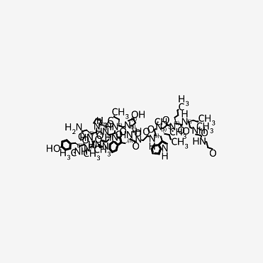 CCCC[C@@H](C(=O)N(C)[C@@H](CCCC)C(=O)N[C@@H](CC(C)C)C(=O)NCC(=O)NCCC=O)N(C)C(=O)[C@H](Cc1c[nH]c2ccccc12)NC(=O)CNC(=O)[C@H](Cc1c[nH]c2ccccc12)NC(=O)[C@@H]1C[C@@H](O)CN1C(=O)[C@H](CC(C)C)NC(=O)[C@H](Cc1c[nH]cn1)NC(=O)[C@@H]1CCCN1C(=O)[C@H](CC(N)=O)NC(=O)[C@H](C)N(C)C(=O)[C@H](Cc1ccc(O)cc1)NC